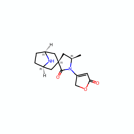 C[C@@H]1C[C@]2(C[C@H]3CC[C@@H](C2)N3)C(=O)N1C1=CC(=O)OC1